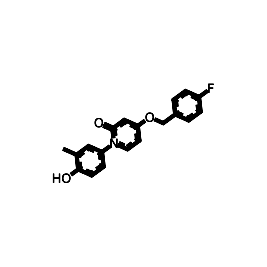 Cc1cc(-n2ccc(OCc3ccc(F)cc3)cc2=O)ccc1O